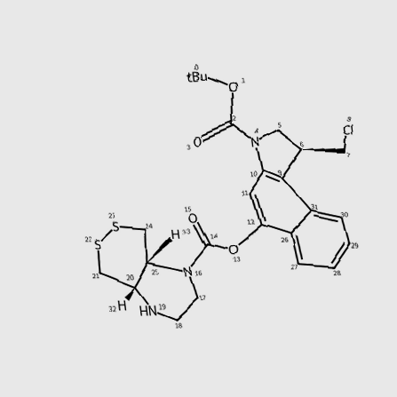 CC(C)(C)OC(=O)N1C[C@@H](CCl)c2c1cc(OC(=O)N1CCN[C@@H]3CSSC[C@@H]31)c1ccccc21